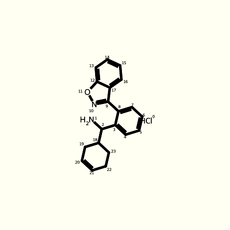 Cl.NC(c1ccccc1-c1noc2ccccc12)C1CC=CCC1